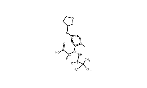 CC(C)(C)[S@@+]([O-])N[C@@H](c1cc(OC2CCOC2)ccc1F)[C@@H](F)C(=O)O